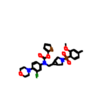 COc1cc(C)ccc1S(=O)(=O)N1CC2C(CN(C(=O)Oc3cccs3)c3ccc(N4CCOCC4)c(F)c3)C2C1